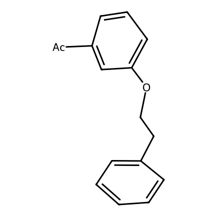 CC(=O)c1cccc(OCCc2ccccc2)c1